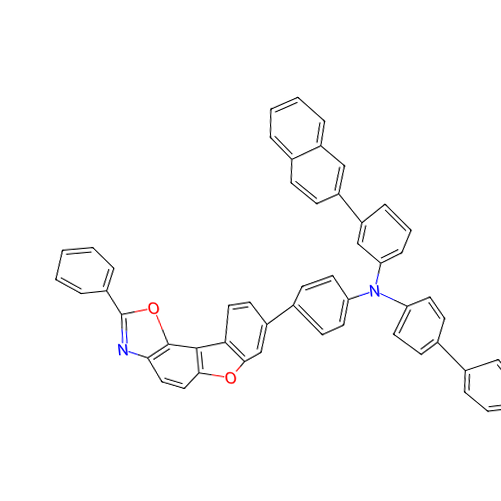 c1ccc(-c2ccc(N(c3ccc(-c4ccc5c(c4)oc4ccc6nc(-c7ccccc7)oc6c45)cc3)c3cccc(-c4ccc5ccccc5c4)c3)cc2)cc1